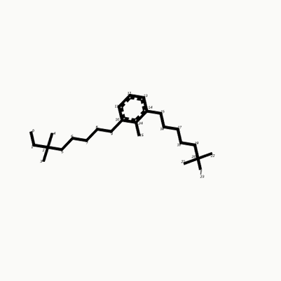 CCC(C)(C)CCCCCc1cccc(CCCCCC(C)(C)I)c1C